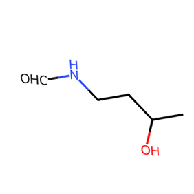 CC(O)CCNC=O